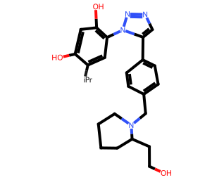 CC(C)c1cc(-n2nncc2-c2ccc(CN3CCCCC3CCO)cc2)c(O)cc1O